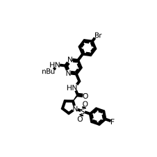 CCCCNc1nc(CNC(=O)[C@@H]2CCCN2S(=O)(=O)c2ccc(F)cc2)cc(-c2ccc(Br)cc2)n1